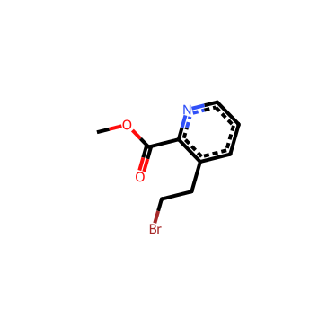 COC(=O)c1ncccc1CCBr